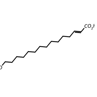 COCCCCCCCCCCCCC=CC(=O)O